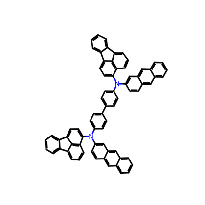 c1ccc2c(c1)-c1cccc3c(N(c4ccc(-c5ccc(N(c6ccc7cc8ccccc8cc7c6)c6ccc7c8c(cccc68)-c6ccccc6-7)cc5)cc4)c4ccc5cc6ccccc6cc5c4)ccc-2c13